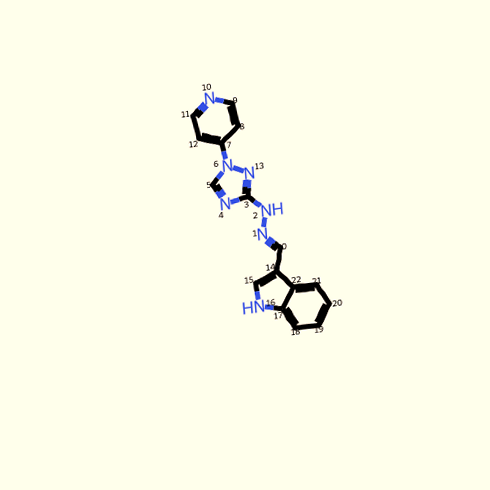 C(=NNc1ncn(-c2ccncc2)n1)c1c[nH]c2ccccc12